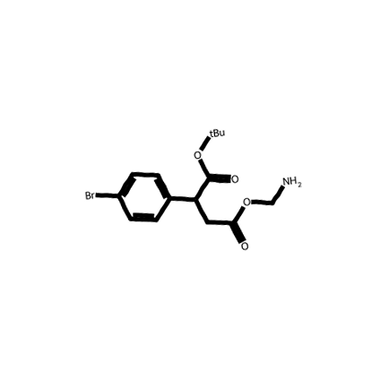 CC(C)(C)OC(=O)C(CC(=O)OCN)c1ccc(Br)cc1